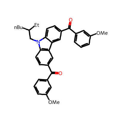 CCCCC(CC)Cn1c2ccc(C(=O)c3cccc(OC)c3)cc2c2cc(C(=O)c3cccc(OC)c3)ccc21